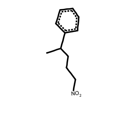 CC(CCC[N+](=O)[O-])c1ccccc1